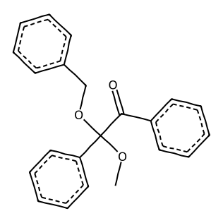 COC(OCc1ccccc1)(C(=O)c1ccccc1)c1ccccc1